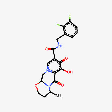 CC1CCOC2Cn3cc(C(=O)NCc4cccc(F)c4F)c(=O)c(O)c3C(=O)N12